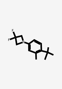 Cc1cc(N2CC(F)(F)C2)ccc1C(C)(C)C